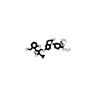 Cn1nc(C(=O)O)c2ccc(N3C(=O)CCc4cc(OCc5c(-c6c(Cl)cccc6CCl)noc5C5CC5)ccc43)cc21